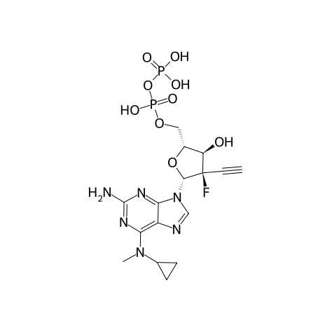 C#C[C@@]1(F)[C@H](O)[C@@H](COP(=O)(O)OP(=O)(O)O)O[C@H]1n1cnc2c(N(C)C3CC3)nc(N)nc21